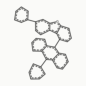 c1ccc(-c2ccc3c(c2)oc2cccc(-c4c5ccccc5c(-c5ccccc5)c5ccccc45)c23)cc1